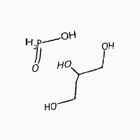 O=[PH2]O.OCC(O)CO